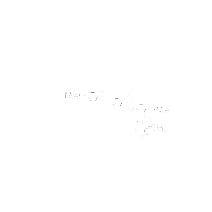 C=C(C(=O)Oc1cc(OC(=O)c2ccc(OC(=O)c3ccc(OC)cc3)cc2)ccc1OC)C(F)(F)F